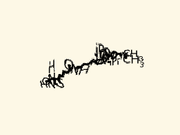 CC(C)C[C@H]1C(=O)N([C@@H](CC(C)C)C(=O)N2CCC(CCN(C)C)CC2)CCN1CCCCCNC(=O)CCCCC1SCC2NC(=O)NC21